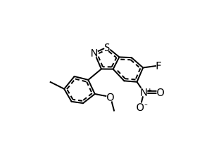 COc1ccc(C)cc1-c1nsc2cc(F)c([N+](=O)[O-])cc12